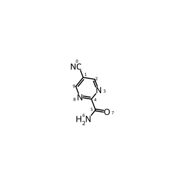 N#Cc1[c]nc(C(N)=O)nc1